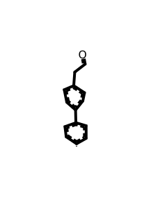 O=CCc1ccc(-c2cc[c]cc2)cc1